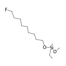 CC[Si](C)(OC)OCCCCCCCCCF